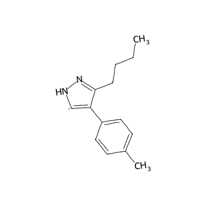 CCCCc1n[nH][c]c1-c1ccc(C)cc1